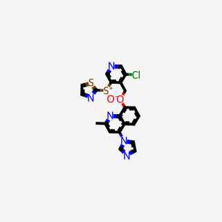 Cc1cc(-n2ccnc2)c2cccc(OCc3c(Cl)cncc3[S+]([O-])c3nccs3)c2n1